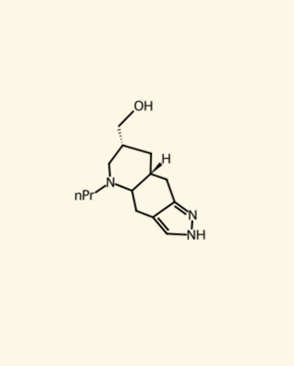 CCCN1C[C@H](CO)C[C@@H]2Cc3n[nH]cc3CC21